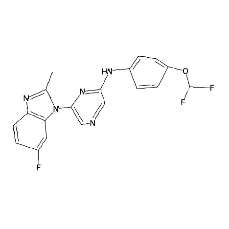 Cc1nc2ccc(F)cc2n1-c1cncc(Nc2ccc(OC(F)F)cc2)n1